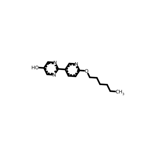 CCCCCCOc1ccc(-c2ncc(O)cn2)cn1